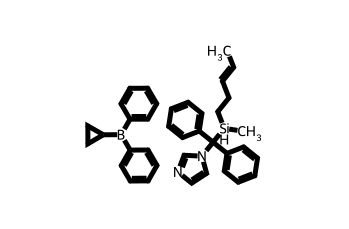 CC=CCC[SiH](C)C(c1ccccc1)(c1ccccc1)n1ccnc1.c1ccc(B(c2ccccc2)C2CC2)cc1